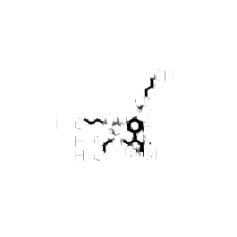 CCCCCOC(=O)Oc1ccc(C(C(C)COC(=O)C(C)CC)[C@H](N)C(=O)O)cc1OC(=O)OCCCCC